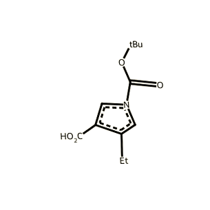 CCc1cn(C(=O)OC(C)(C)C)cc1C(=O)O